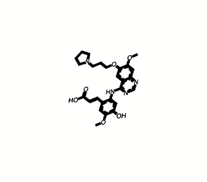 COc1cc(/C=C/C(=O)O)c(Nc2ncnc3cc(OC)c(OCCCN4CCCC4)cc23)cc1O